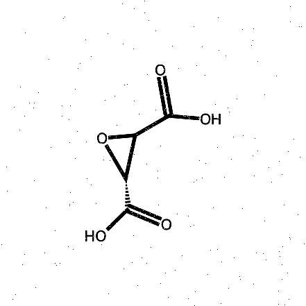 O=C(O)C1O[C@H]1C(=O)O